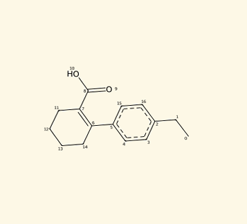 CCc1ccc(C2=C(C(=O)O)CCCC2)cc1